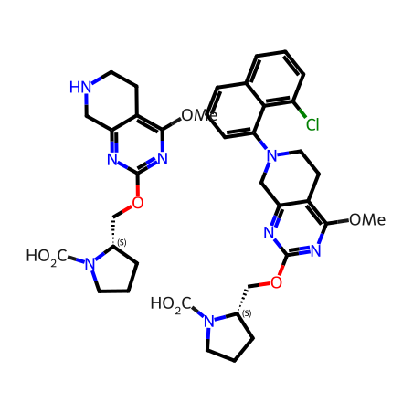 COc1nc(OC[C@@H]2CCCN2C(=O)O)nc2c1CCN(c1cccc3cccc(Cl)c13)C2.COc1nc(OC[C@@H]2CCCN2C(=O)O)nc2c1CCNC2